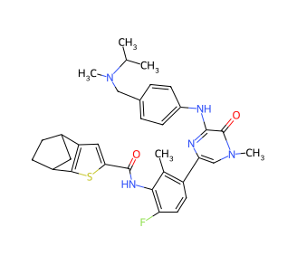 Cc1c(-c2cn(C)c(=O)c(Nc3ccc(CN(C)C(C)C)cc3)n2)ccc(F)c1NC(=O)c1cc2c(s1)C1CCC2C1